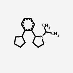 CC(C)N1CCCC1c1ccccc1C1CCCC1